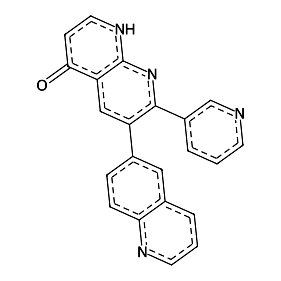 O=c1cc[nH]c2nc(-c3cccnc3)c(-c3ccc4ncccc4c3)cc12